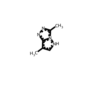 Cc1c[nH]n2c(C)nnc12